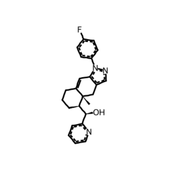 C[C@]12Cc3cnn(-c4ccc(F)cc4)c3C=C1CCC[C@@H]2[C@@H](O)c1ccccn1